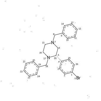 Brc1ccc([C@H]2CN(Cc3ccccc3)CCN2Cc2ccccc2)cc1